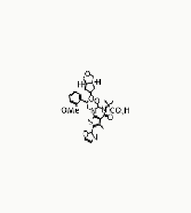 COc1ccccc1[C@H](Cn1c(=O)n(C(C)(C)C(=O)O)c(=O)c2c(C)c(-c3ncco3)sc21)OC1C[C@@H]2COC[C@H]2C1